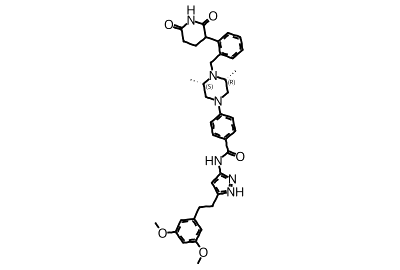 COc1cc(CCc2cc(NC(=O)c3ccc(N4C[C@@H](C)N(Cc5ccccc5C5CCC(=O)NC5=O)[C@@H](C)C4)cc3)n[nH]2)cc(OC)c1